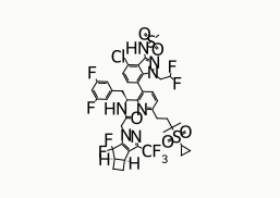 CC(C)(CCc1ccc(-c2ccc(Cl)c3c(NS(C)(=O)=O)nn(CC(F)F)c23)c([C@H](Cc2cc(F)cc(F)c2)NC(=O)Cn2nc(C(F)(F)F)c3c2C(F)(F)[C@@H]2CC[C@H]32)n1)S(=O)(=O)C1CC1